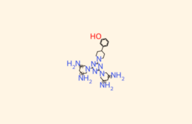 N[C@@H]1C[C@H](N)CN(c2nc(N3CCC(c4cccc(O)c4)CC3)nc(N3C[C@H](N)C[C@H](N)C3)n2)C1